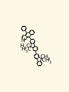 CC1(C)c2ccccc2-c2ccc(-c3ccc4c(c3)C(C)(C)c3cc(-c5c6ccccc6c(-c6ccccc6)c6ccncc56)ccc3-4)cc21